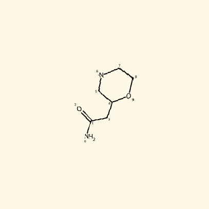 NC(=O)CC1C[N]CCO1